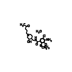 COc1c(C(=O)NCC2CCN(CCCC(C)=O)CC2O)cc(Cl)c(N)c1OC.O